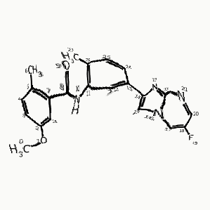 COc1ccc(C)c(C(=O)Nc2cc(-c3cn4cc(F)cnc4n3)ccc2C)c1